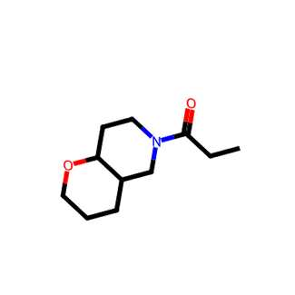 CCC(=O)N1CCC2OCCCC2C1